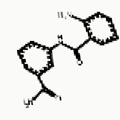 NC(=O)c1cccc(NC(=O)c2ccccc2N)c1